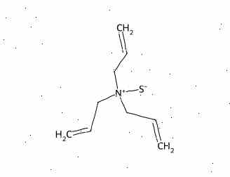 C=CC[N+]([S-])(CC=C)CC=C